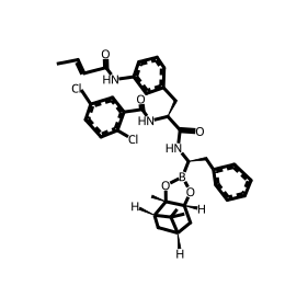 CC=CC(=O)Nc1cccc(C[C@H](NC(=O)c2cc(Cl)ccc2Cl)C(=O)N[C@@H](Cc2ccccc2)B2O[C@@H]3C[C@@H]4C[C@@H](C4(C)C)[C@]3(C)O2)c1